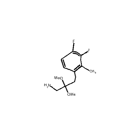 COC(CN)(Cc1ccc(F)c(F)c1C)OC